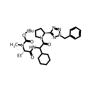 CC[C@@H](C(=O)NC(C(=O)N1CCC[C@H]1c1nnn(Cc2ccccc2)n1)C1CCCCC1)N(C)C(=O)OC(C)(C)C